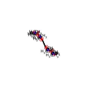 CC1(C)CC(OC(=O)CCCCCCCCC(=O)OC2CC(C)(C)N(OCC(=C=O)OC3CC(C)(C)N(OC4CCCCC4)C(C)(C)C3)C(C)(C)C2)CC(C)(C)N1OCC(=C=O)OC1CC(C)(C)N(OC2CCCCC2)C(C)(C)C1